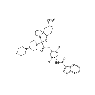 O=C(Nc1cc(F)c(CC(=O)C(OC2CCC(C(=O)O)CC2)(N2CCCC2)N2CCC(N3CCOCC3)CC2)cc1Cl)c1csc2ccccc12